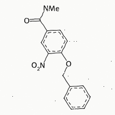 CNC(=O)c1ccc(OCc2ccccc2)c([N+](=O)[O-])c1